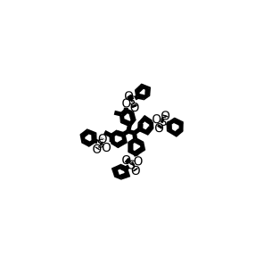 Cc1cc(C(c2ccc(OS(=O)(=O)c3ccccc3)c(C)c2)C(c2ccc(OS(=O)(=O)c3ccccc3)cc2)c2ccc(OS(=O)(=O)c3ccccc3)cc2)ccc1OS(=O)(=O)c1ccccc1